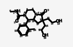 CNC(=O)N1CCN2C(=O)C(CCO)(CCO)CC2C1c1ccccc1C